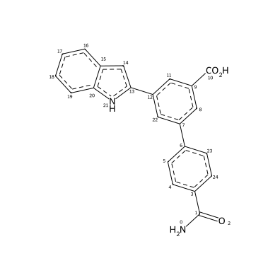 NC(=O)c1ccc(-c2cc(C(=O)O)cc(-c3cc4ccccc4[nH]3)c2)cc1